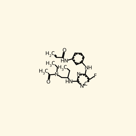 C=CC(=O)Nc1cccc(Nc2nc(NC(CC)CN(CC)C(C)=O)ncc2F)c1